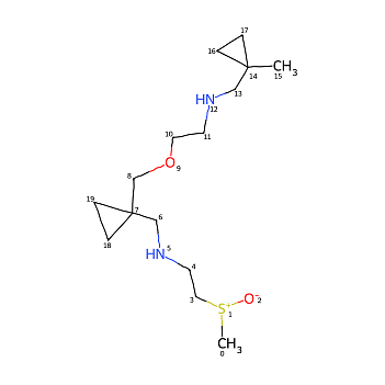 C[S+]([O-])CCNCC1(COCCNCC2(C)CC2)CC1